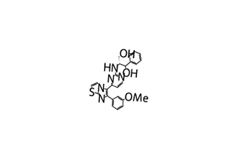 COc1cccc(-c2nc3sccn3c2-c2ccnc(N[C@H](CO)[C@H](O)c3ccccc3)n2)c1